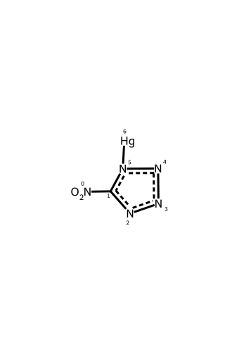 O=[N+]([O-])c1nnn[n]1[Hg]